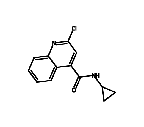 O=C(NC1CC1)c1cc(Cl)nc2ccccc12